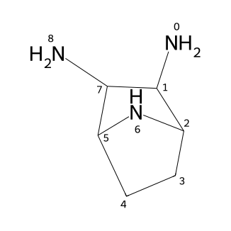 NC1C2CCC(N2)C1N